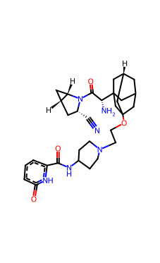 N#C[C@@H]1C[C@@H]2C[C@@H]2N1C(=O)[C@@H](N)C12CC3C[C@H](CC(OCCN4CCC(NC(=O)c5cccc(=O)[nH]5)CC4)(C3)C1)C2